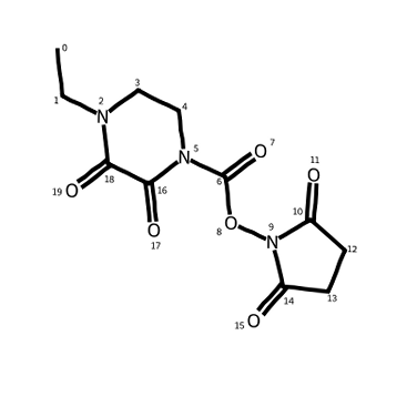 CCN1CCN(C(=O)ON2C(=O)CCC2=O)C(=O)C1=O